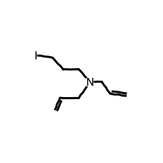 C=CCN(CC=C)CCCI